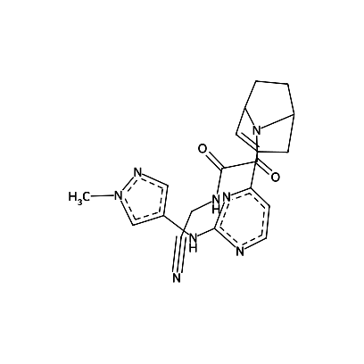 Cn1cc(Nc2nccc(C3=CC4CCC(C3)N4C(=O)C(=O)NCC#N)n2)cn1